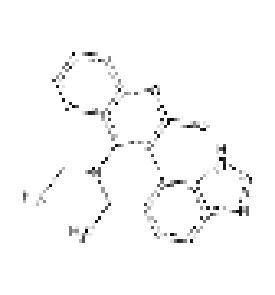 CCN(CC)c1c(-c2cccc3nc[nH]c23)c(=O)oc2ccccc12